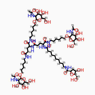 CC(=O)NC1C(OCCCCCCNC(=O)CCC(NC(=O)CCC(NC(=O)CCCCCCCCCNC(=O)[C@H]2C[C@H](O)[C@@H](CO)O2)C(=O)NCCCCCCOC2O[C@H](CO)C(O)C(O)C2NC(C)=O)C(=O)NCCCCCCOC2OC(CO)C(O)C(O)C2NC(C)=O)OC(CO)C(O)C1O